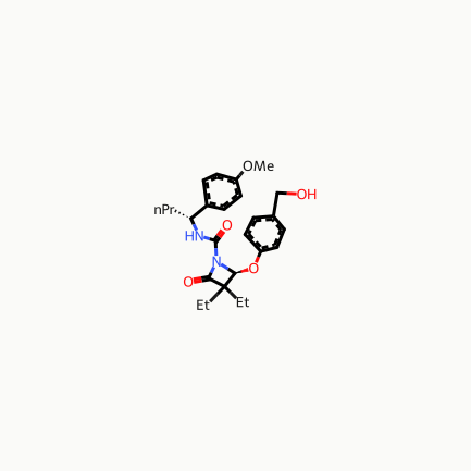 CCC[C@@H](NC(=O)N1C(=O)C(CC)(CC)[C@@H]1Oc1ccc(CO)cc1)c1ccc(OC)cc1